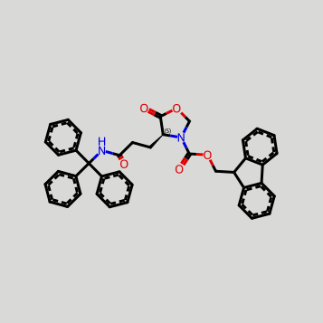 O=C(CC[C@H]1C(=O)OCN1C(=O)OCC1c2ccccc2-c2ccccc21)NC(c1ccccc1)(c1ccccc1)c1ccccc1